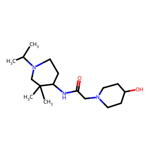 CC(C)N1CCC(NC(=O)CN2CCC(O)CC2)C(C)(C)C1